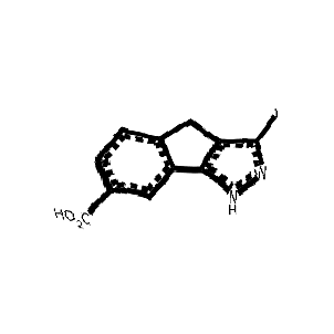 O=C(O)c1ccc2c(c1)-c1[nH]nc(I)c1C2